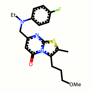 CCN(Cc1cc(=O)n2c(CCCOC)c(C)sc2n1)c1ccc(F)cc1